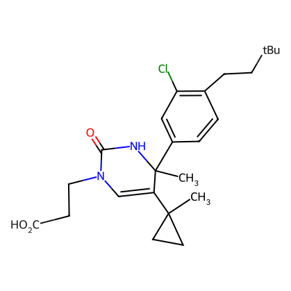 CC(C)(C)CCc1ccc(C2(C)NC(=O)N(CCC(=O)O)C=C2C2(C)CC2)cc1Cl